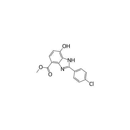 COC(=O)c1ccc(O)c2[nH]c(-c3ccc(Cl)cc3)nc12